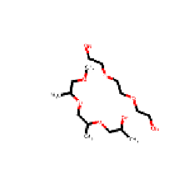 COCC(C)OCC(C)OCC(C)O.OCCOCCOCCO